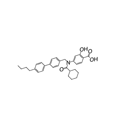 CCCCc1ccc(-c2ccc(CN(C(=O)C3CCCCC3)c3ccc(C(=O)O)c(O)c3)cc2)cc1